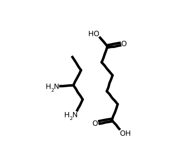 CCC(N)CN.O=C(O)CCCCC(=O)O